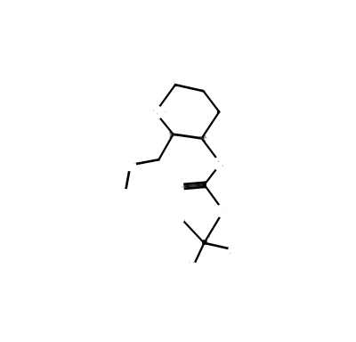 COCC1NCCCC1NC(=O)OC(C)(C)C